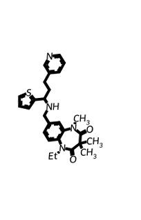 CCN1C(=O)C(C)(C)C(=O)N(C)c2cc(CNC(CCc3cccnc3)c3cccs3)ccc21